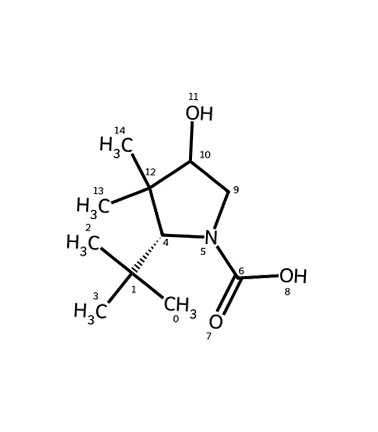 CC(C)(C)[C@H]1N(C(=O)O)CC(O)C1(C)C